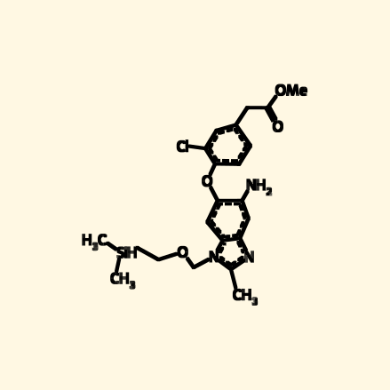 COC(=O)Cc1ccc(Oc2cc3c(cc2N)nc(C)n3COCC[SiH](C)C)c(Cl)c1